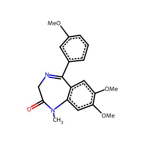 COc1cccc(C2=NCC(=O)N(C)c3cc(OC)c(OC)cc32)c1